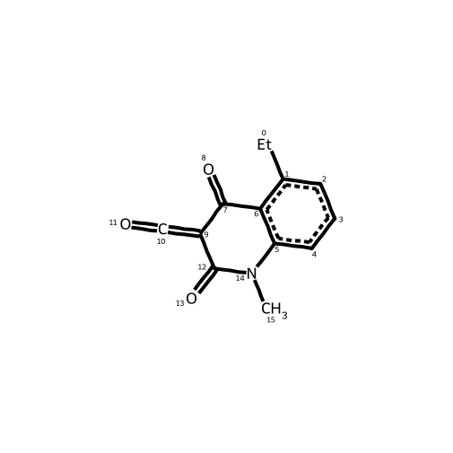 CCc1cccc2c1C(=O)C(=C=O)C(=O)N2C